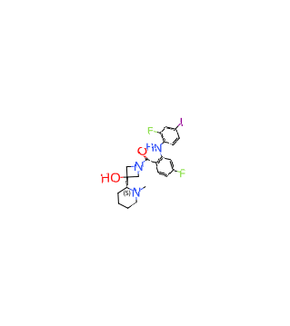 CN1CCCC[C@H]1C1(O)CN(C(=O)c2ccc(F)cc2Nc2ccc(I)cc2F)C1